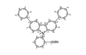 N#Cc1ccccc1.c1ccc(-c2ccc3[nH]c4ccc(-c5ccccc5)cc4c3c2)cc1